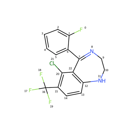 Fc1ccccc1C1=NCCNc2ccc(C(F)(F)F)c(Cl)c21